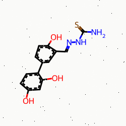 NC(=S)N/N=C/c1cc(-c2ccc(O)cc2O)ccc1O